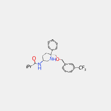 CC(C)C(=O)N[C@H]1CC[C@@](COCc2cccc(C(F)(F)F)c2)(c2ccccc2)NC1